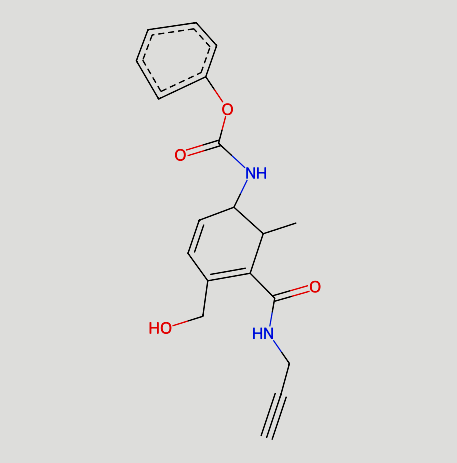 C#CCNC(=O)C1=C(CO)C=CC(NC(=O)Oc2ccccc2)C1C